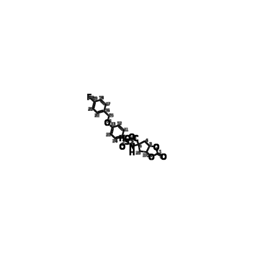 O=C1OC2CC(NS(=O)(=O)c3ccc(OCc4ccc(F)cc4)cc3)(C(=O)O)CC2O1